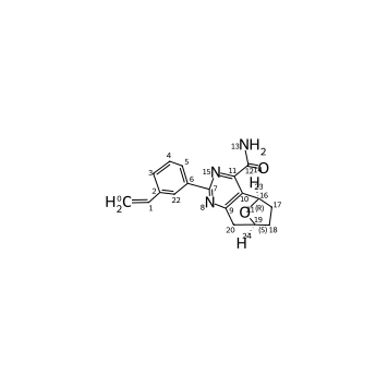 C=Cc1cccc(-c2nc3c(c(C(N)=O)n2)[C@H]2CC[C@@H](C3)O2)c1